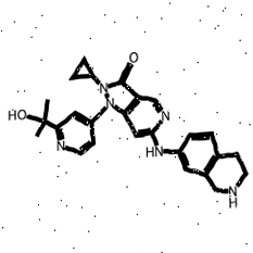 CC(C)(O)c1cc(-n2c3cc(Nc4ccc5c(c4)CNCC5)ncc3c(=O)n2C2CC2)ccn1